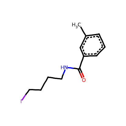 Cc1cccc(C(=O)NCCCCI)c1